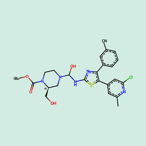 Cc1cc(-c2sc(NC(O)N3CCN(C(=O)OC(C)(C)C)[C@H](CO)C3)nc2-c2cccc(C#N)c2)cc(Cl)n1